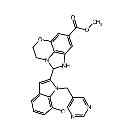 COC(=O)c1cc2c3c(c1)OCCN3C(c1cc3cccc(Cl)c3n1Cc1cncnc1)N2